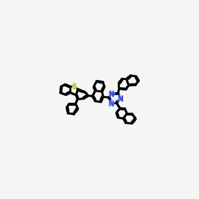 c1ccc(-c2cc(-c3ccc(-c4nc(-c5ccc6ccccc6c5)nc(-c5ccc6ccccc6c5)n4)c4ccccc34)cc3sc4ccccc4c23)cc1